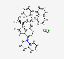 CC1=Cc2c(cccc2N2CCCc3ccccc32)[CH]1[Hf+2]([CH]1C(C)=C(c2cccc3ccccc23)c2ccccc21)=[Si](C)C.[Cl-].[Cl-]